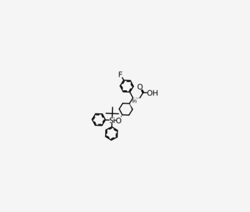 CC(C)(C)[Si](O[C@H]1CC[C@H]([C@@H](CC(=O)O)c2ccc(F)cc2)CC1)(c1ccccc1)c1ccccc1